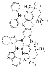 CC1(C)CCC(C)(C)c2c1nc1c3c2Oc2cc4c(cc2B3c2ccccc2N1c1ccccc1)B1c2sc3ccccc3c2N(c2csc3ccccc23)c2nc3c(c(c21)O4)C(C)(C)CCC3(C)C